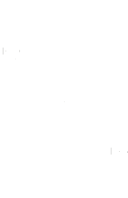 CCCCCCC#Cc1ccc(/C=C/C(=O)O)o1